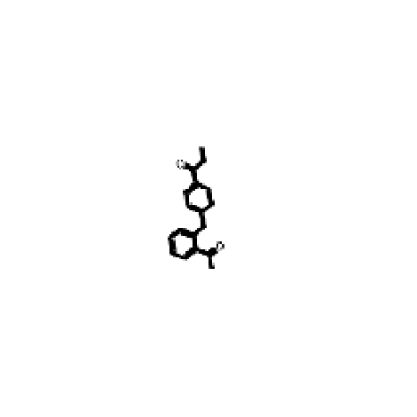 CCC(=O)c1ccc(Cc2ccccc2C(C)=O)cc1